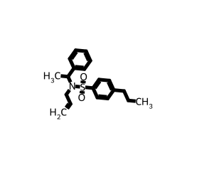 C=CCN(C(C)c1ccccc1)S(=O)(=O)c1ccc(CCC)cc1